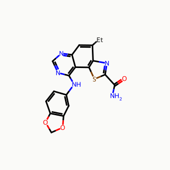 CCc1cc2ncnc(Nc3ccc4c(c3)OCO4)c2c2sc(C(N)=O)nc12